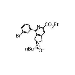 CCCC[S@+]([O-])N1Cc2cc(C(=O)OCC)nc(-c3cccc(Br)c3)c2C1